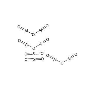 O=[Si]=O.O=[Si]=O.[O]=[Al][O][Al]=[O].[O]=[Al][O][Al]=[O].[O]=[Al][O][Al]=[O]